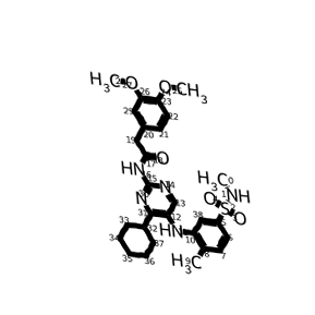 CNS(=O)(=O)c1ccc(C)c(Nc2cnc(NC(=O)Cc3ccc(OC)c(OC)c3)nc2C2CCCCC2)c1